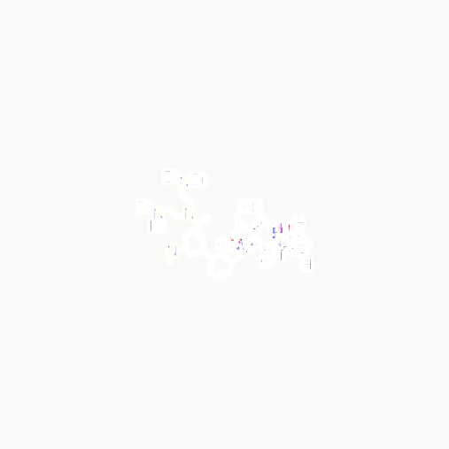 C=C(c1cc(-c2cccc(CN3O[C@@H](CO)[C@@H]([C@H](C)O)[C@H]3C(=O)N[C@H]3C[C@H]4C[C@@H]([C@@H]3C)C4(C)C)c2OC)cc(N(C)C)c1)N(CCN(CC)CC)CCN(CC)CC